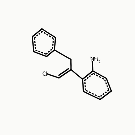 Nc1ccccc1C(=CCl)Cc1ccccc1